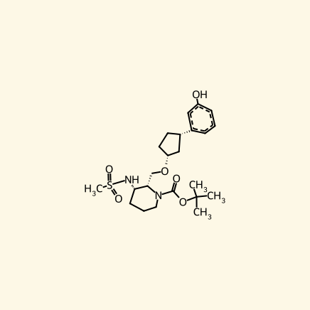 CC(C)(C)OC(=O)N1CCC[C@H](NS(C)(=O)=O)[C@@H]1CO[C@@H]1CC[C@H](c2cccc(O)c2)C1